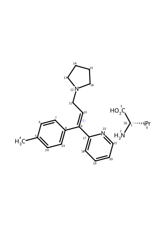 CC(C)[C@H](N)C(=O)O.Cc1ccc(/C(=C\CN2CCCC2)c2ccccn2)cc1